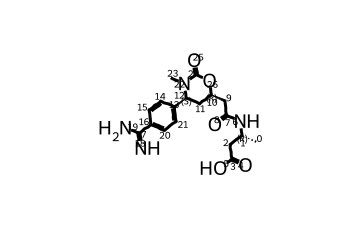 C[C@H](CC(=O)O)NC(=O)C[C@H]1C[C@@H](c2ccc(C(=N)N)cc2)N(C)C(=O)O1